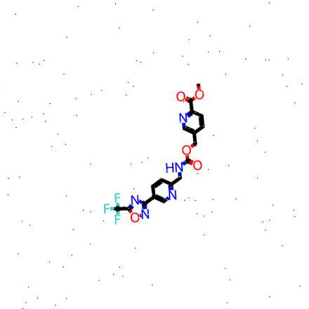 COC(=O)c1ccc(COC(=O)NCc2ccc(-c3noc(C(F)(F)F)n3)cn2)cn1